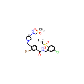 CCS(=O)(=O)c1ccc(Cl)cc1CNC(=O)c1ccc(CN2CC[C@@H](NCS(C)(=O)=O)C2)c(Br)c1